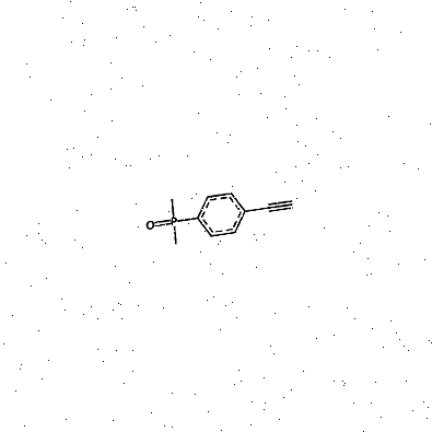 C#Cc1ccc(P(C)(C)=O)cc1